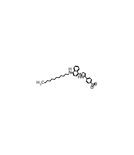 CCCCCCCCCCCCNc1ccc(N2CC=C(c3ccc([N+](=O)[O-])cc3)N2)c2ccccc12